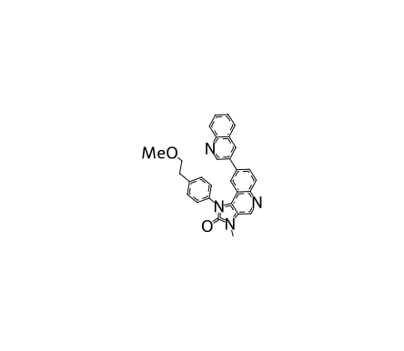 COCCc1ccc(-n2c(=O)n(C)c3cnc4ccc(-c5cnc6ccccc6c5)cc4c32)cc1